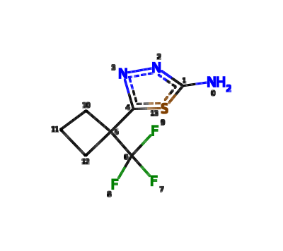 Nc1nnc(C2(C(F)(F)F)CCC2)s1